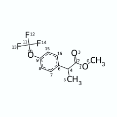 COC(=O)C(C)c1ccc(OC(F)(F)F)cc1